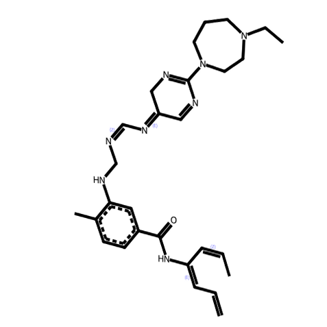 C=C/C=C(\C=C/C)NC(=O)c1ccc(C)c(NC/N=C\N=C2\C=NC(N3CCCN(CC)CC3)=NC2)c1